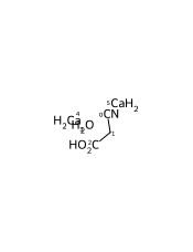 N#CCC(=O)O.O.[CaH2].[CaH2]